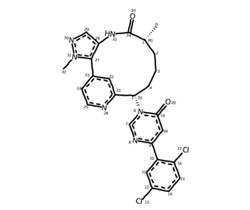 C[C@@H]1CCC[C@H](n2cnc(-c3cc(Cl)ccc3Cl)cc2=O)c2cc(ccn2)-c2c(cnn2C)NC1=O